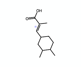 C/C(=C\C1CCC(C)C(C)C1)C(=O)O